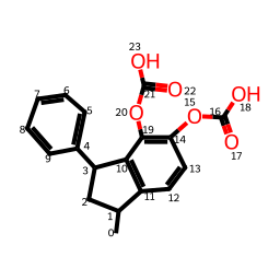 CC1CC(c2ccccc2)c2c1ccc(OC(=O)O)c2OC(=O)O